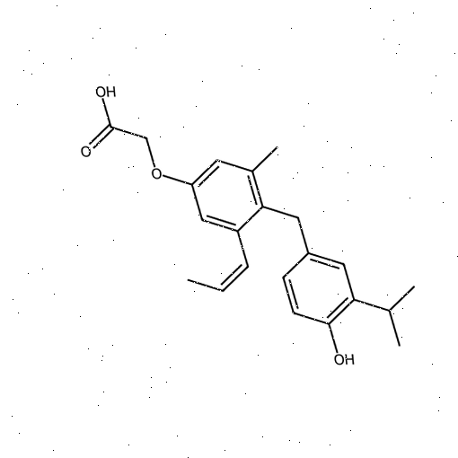 C/C=C\c1cc(OCC(=O)O)cc(C)c1Cc1ccc(O)c(C(C)C)c1